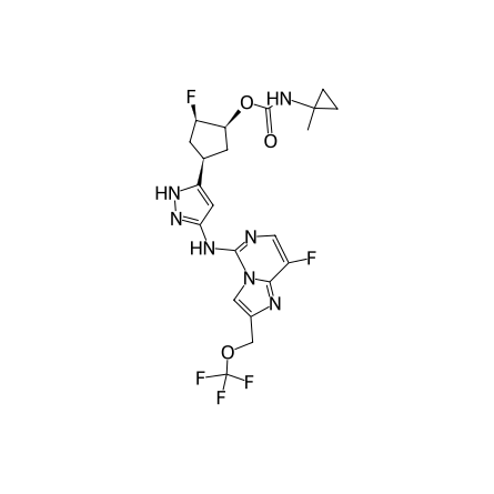 CC1(NC(=O)O[C@H]2C[C@@H](c3cc(Nc4ncc(F)c5nc(COC(F)(F)F)cn45)n[nH]3)C[C@H]2F)CC1